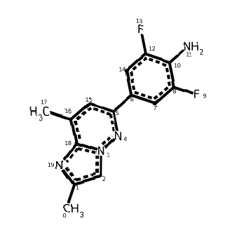 Cc1cn2nc(-c3cc(F)c(N)c(F)c3)cc(C)c2n1